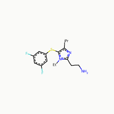 CCn1c(CCN)nc(C(C)C)c1Sc1cc(F)cc(F)c1